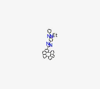 CCn1c(-c2ccccc2)nc2cc(-c3ncc(-c4cc5ccc6cccc7c8cccc9ccc%10cccc(c(c4)c5c67)c%10c98)cn3)ccc21